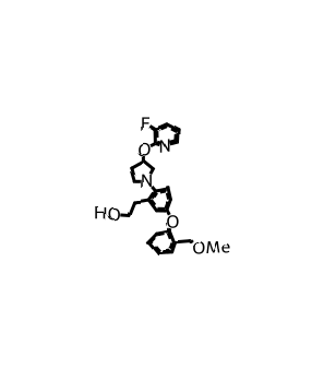 COCc1ccccc1Oc1ccc(N2CCC(Oc3ncccc3F)C2)c(CCO)c1